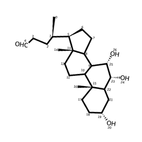 C[C@H](CCC=O)[C@H]1CCC2C3C(CC[C@@]21C)[C@@]1(C)CC[C@@H](O)CC1[C@@H](O)[C@H]3O